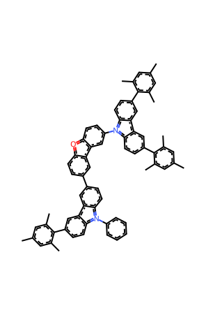 Cc1cc(C)c(-c2ccc3c(c2)c2cc(-c4ccc5oc6ccc(-n7c8ccc(-c9c(C)cc(C)cc9C)cc8c8cc(-c9c(C)cc(C)cc9C)ccc87)cc6c5c4)ccc2n3-c2ccccc2)c(C)c1